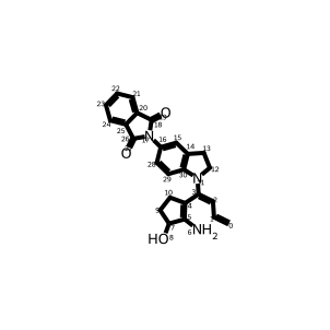 C=C/C=C(\C1=C(N)C(O)CC1)N1CCc2cc(N3C(=O)c4ccccc4C3=O)ccc21